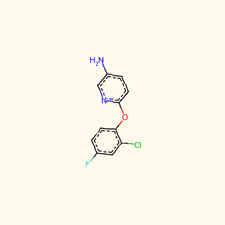 Nc1ccc(Oc2ccc(F)cc2Cl)nc1